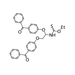 CCOC(=S)NC(COc1ccc(C(=O)c2ccccc2)cc1)Oc1ccc(C(=O)c2ccccc2)cc1